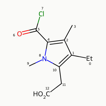 CCc1c(C)c(C(=O)Cl)n(C)c1CC(=O)O